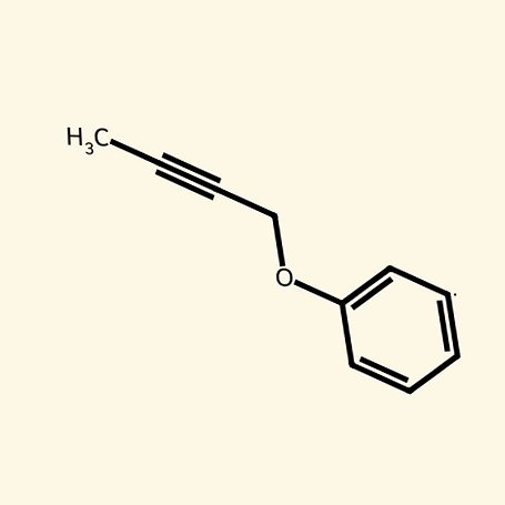 CC#CCOc1c[c]ccc1